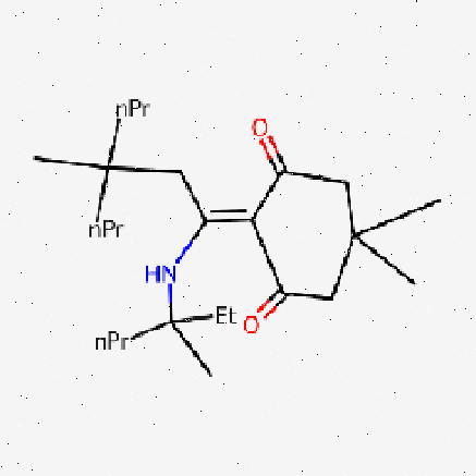 CCCC(C)(CCC)CC(NC(C)(CC)CCC)=C1C(=O)CC(C)(C)CC1=O